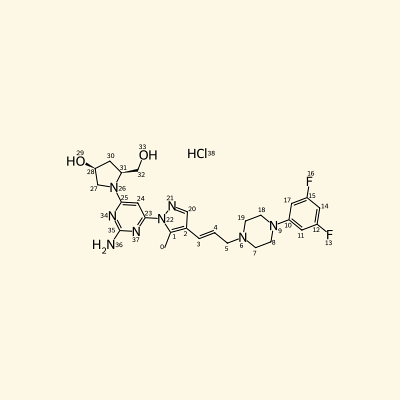 Cc1c(/C=C/CN2CCN(c3cc(F)cc(F)c3)CC2)cnn1-c1cc(N2C[C@@H](O)C[C@H]2CO)nc(N)n1.Cl